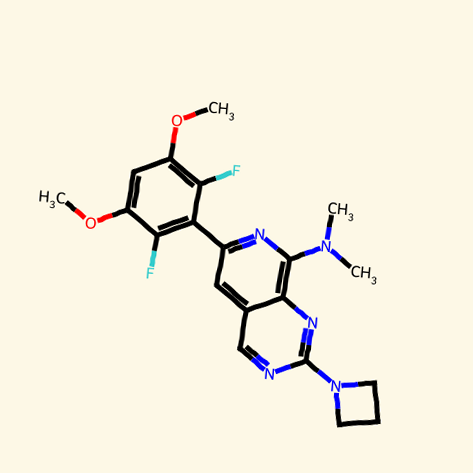 COc1cc(OC)c(F)c(-c2cc3cnc(N4CCC4)nc3c(N(C)C)n2)c1F